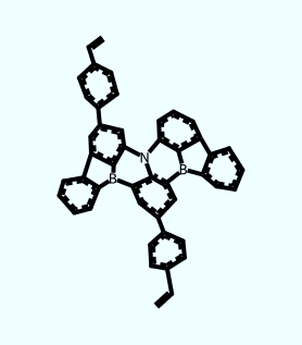 C=Cc1ccc(-c2cc3c4c(c2)B2c5ccccc5-c5cc(-c6ccc(C=C)cc6)cc(c52)N4c2cccc4c2B3c2ccccc2-4)cc1